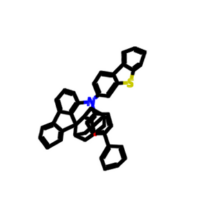 c1ccc(-c2ccc(N(c3ccc4c(c3)sc3ccccc34)c3cccc4c3C3(c5ccccc5-4)C4CC5CC(C4)CC3C5)cc2)cc1